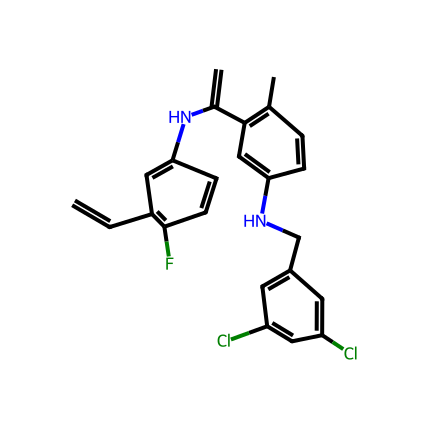 C=Cc1cc(NC(=C)c2cc(NCc3cc(Cl)cc(Cl)c3)ccc2C)ccc1F